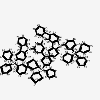 c1ccc([Si](c2ccccc2)(c2ccccc2)c2cccc(-c3cc(-n4c5ccccc5c5ccc6c(c7ccccc7n6-c6cccc([Si](c7ccccc7)(c7ccccc7)c7ccccc7)c6)c54)nc(-n4c5ccccc5c5cc([Si](c6ccccc6)(c6ccccc6)c6ccccc6)ccc54)n3)c2)cc1